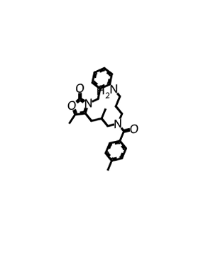 Cc1ccc(C(=O)N(CCCN)CC(C)Cc2c(C)oc(=O)n2Cc2ccccc2)cc1